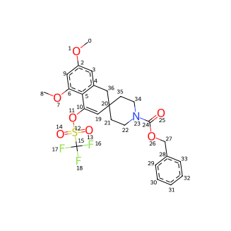 COc1cc2c(c(OC)c1)C(OS(=O)(=O)C(F)(F)F)=CC1(CCN(C(=O)OCc3ccccc3)CC1)C2